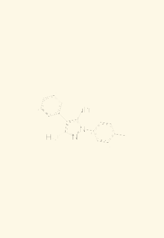 Cc1ccc(-n2nc(O)c(-c3ccccc3)c2C(C)C)cc1